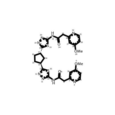 COc1ccnc(CC(=O)Nc2nnc([C@H]3CC[C@H](c4nnc(NC(=O)Cc5cc(OC)ccn5)s4)C3)s2)c1